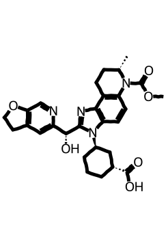 COC(=O)N1c2ccc3c(nc([C@H](O)c4cc5c(cn4)OCC5)n3[C@@H]3CCC[C@@H](C(=O)O)C3)c2CC[C@@H]1C